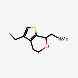 CNCC1OCCc2c(CI)csc21